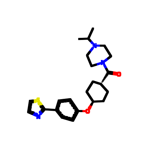 CC(C)N1CCN(C(=O)[C@H]2CC[C@H](Oc3ccc(-c4nccs4)cc3)CC2)CC1